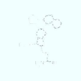 CCOC(=O)c1c(CNC(=N)N)sc2cc(-c3cccc4ccccc34)c(C3CCCC3)cc12